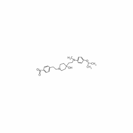 CC(C)Oc1ccc(N(C)CCC2(O)CCN(CCc3ccc([N+](=O)[O-])cc3)CC2)cc1